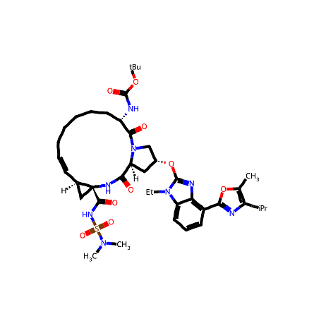 CCn1c(O[C@@H]2C[C@H]3C(=O)N[C@]4(C(=O)NS(=O)(=O)N(C)C)C[C@H]4/C=C\CCCCC[C@H](NC(=O)OC(C)(C)C)C(=O)N3C2)nc2c(-c3nc(C(C)C)c(C)o3)cccc21